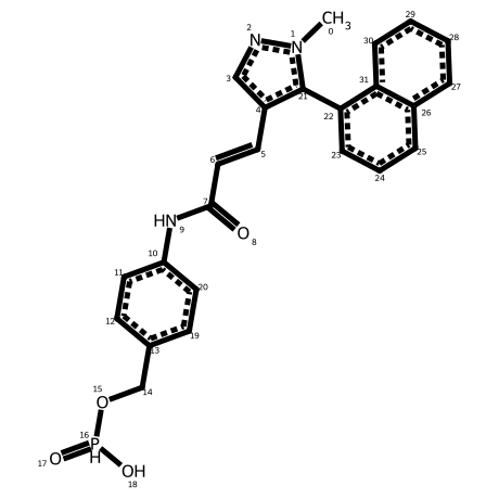 Cn1ncc(C=CC(=O)Nc2ccc(CO[PH](=O)O)cc2)c1-c1cccc2ccccc12